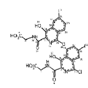 O=C(O)CNC(=O)c1nc(Cl)c2cc(I)ccc2c1O.O=C(O)CNC(=O)c1nc(Cl)c2ccc(I)cc2c1O